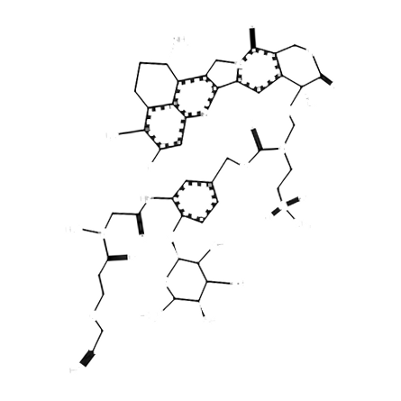 C#CCOCCC(=O)N(C)CC(=O)Nc1cc(COC(=O)N(CCS(C)(=O)=O)CO[C@]2(CC)C(=O)OCc3c2cc2n(c3=O)Cc3c-2nc2cc(F)c(C)c4c2c3[C@@H](N)CC4)ccc1O[C@@H]1OC(C(=O)O)[C@H](O)C(O)C1O